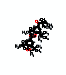 CCC(C)(CC)C(=O)c1cc(C(C)(C)C)c(OC(=O)c2cc(C(C)(C)C)c(O)c(C(C)(C)C)c2)c(C(C)(C)C)c1